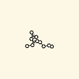 c1ccc(-c2cccc(N(c3ccc4ccc(-c5cccc(-c6ccc7ccccc7c6)c5)cc4c3)c3cccc4c3c3ccccc3n4-c3ccccc3)c2)cc1